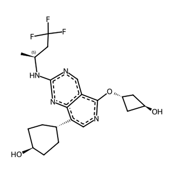 C[C@@H](CC(F)(F)F)Nc1ncc2c(O[C@H]3C[C@H](O)C3)ncc([C@H]3CC[C@H](O)CC3)c2n1